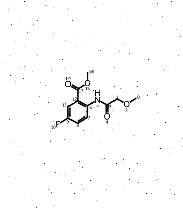 COCC(=O)Nc1ccc(F)cc1C(=O)OC